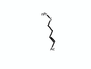 CCCSCCC=CC(C)=O